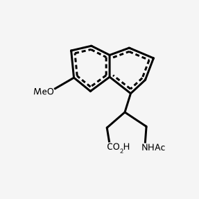 COc1ccc2cccc(C(CNC(C)=O)CC(=O)O)c2c1